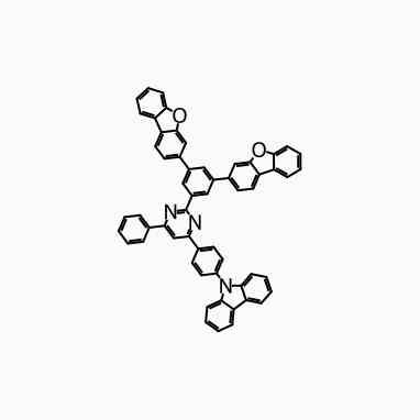 c1ccc(-c2cc(-c3ccc(-n4c5ccccc5c5ccccc54)cc3)nc(-c3cc(-c4ccc5c(c4)oc4ccccc45)cc(-c4ccc5c(c4)oc4ccccc45)c3)n2)cc1